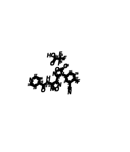 N#Cc1cc(-n2c(-c3nonc3NC(=O)c3ccncc3)noc2=O)ccc1F.O=C(O)C(F)(F)F